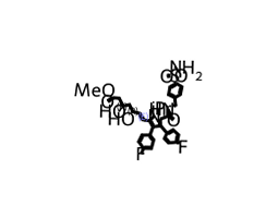 COC(=O)C[C@H](O)C[C@@H](O)/C=C/c1c(-c2ccc(F)cc2)c(-c2ccc(F)cc2)c(C(=O)NCc2ccc(S(N)(=O)=O)cc2)n1C(C)C